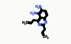 C=CCc1nc(CC=C)c2c(N)c(N)ccc2n1